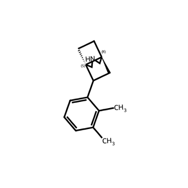 Cc1cccc(C2C[C@]34CC[C@]23CNC4)c1C